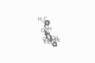 CCN1C(=O)c2cc(C(=O)NCc3cccc(C)c3)nn2CC1(C)C(=O)NC1CCCC1